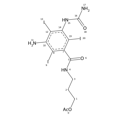 CC(=O)OCCCNC(=O)c1c(I)c(N)c(I)c(NC(N)=O)c1I